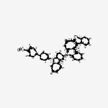 CC(C)(C)c1ccc(-c2ccc(-n3c4ccccc4c4cc(-n5c6ccccc6c6c7c(ccc65)oc5ccccc57)ccc43)cc2)cc1